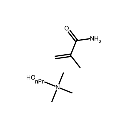 C=C(C)C(N)=O.CCC[N+](C)(C)C.[OH-]